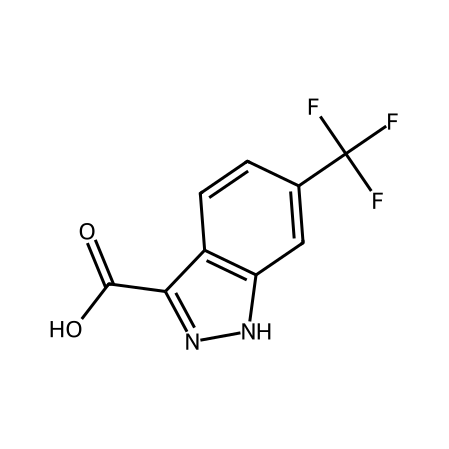 O=C(O)c1n[nH]c2cc(C(F)(F)F)ccc12